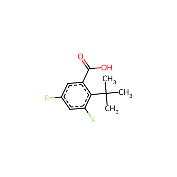 CC(C)(C)c1c(F)cc(F)cc1C(=O)O